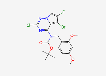 COc1ccc(CN(C(=O)OC(C)(C)C)c2nc(Cl)nn3cc(F)c(Br)c23)c(OC)c1